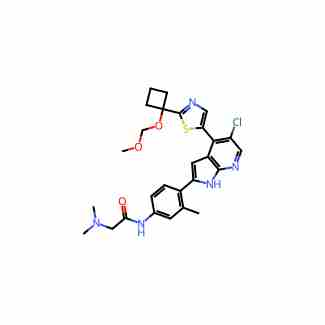 COCOC1(c2ncc(-c3c(Cl)cnc4[nH]c(-c5ccc(NC(=O)CN(C)C)cc5C)cc34)s2)CCC1